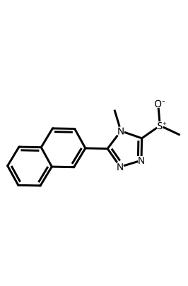 Cn1c(-c2ccc3ccccc3c2)nnc1[S+](C)[O-]